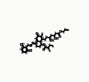 C=CCOC(=O)CC(O)CC(O)CCC1C(C)C(=O)C=C2C(=NOCc3c(Cl)cccc3Cl)CCC(OC(=O)C(C)CC)C21